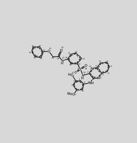 COc1cc(O)cc(Nc2nc3ccccc3nc2NS(=O)(=O)c2cccc(NC(=O)COc3ccccc3)c2)c1